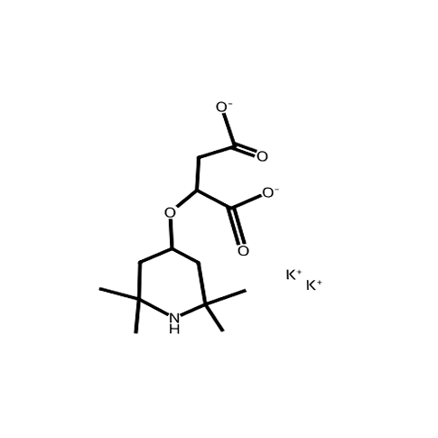 CC1(C)CC(OC(CC(=O)[O-])C(=O)[O-])CC(C)(C)N1.[K+].[K+]